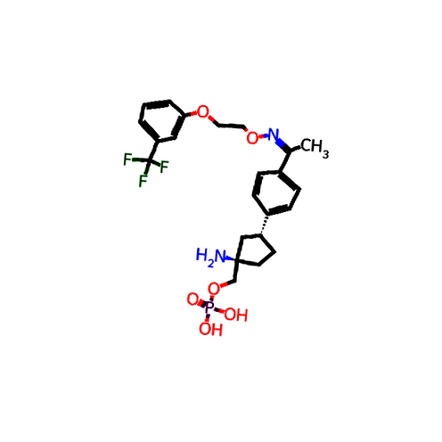 CC(=NOCCOc1cccc(C(F)(F)F)c1)c1ccc([C@@H]2CC[C@](N)(COP(=O)(O)O)C2)cc1